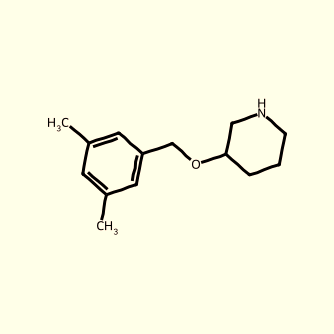 Cc1cc(C)cc(COC2CCCNC2)c1